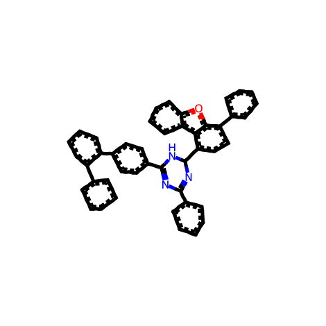 c1ccc(C2=NC(c3ccc(-c4ccccc4)c4oc5ccccc5c34)NC(c3ccc(-c4ccccc4-c4ccccc4)cc3)=N2)cc1